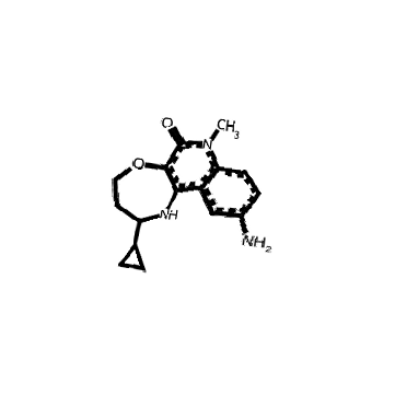 Cn1c(=O)c2c(c3cc(N)ccc31)NC(C1CC1)CCO2